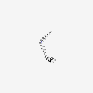 C[SiH](C)OC(CCCCCCCCCC/C=C\CCCCCCCBr)C(C)(C)C